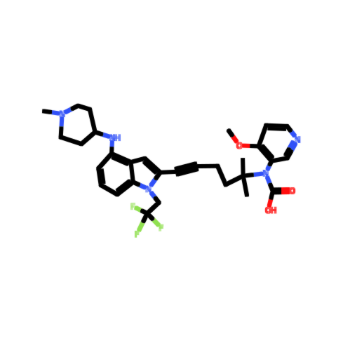 COc1ccncc1N(C(=O)O)C(C)(C)CCC#Cc1cc2c(NC3CCN(C)CC3)cccc2n1CC(F)(F)F